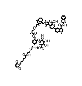 Cc1c(-c2ccc(-c3ccc4nccc(C(=O)Nc5nc6ccccc6s5)c4c3)nc2C(=O)O)cnn1CC12CCCC(C)(CC(C)(CCOCCN(C)C(=O)OCc3ccc(OCCOCCNC(=O)CCCCCN4C(=O)C=CC4=O)cc3O[C@@H]3O[C@H](C(=O)O)[C@@H](O)[C@H](O)[C@H]3O)C1)C2